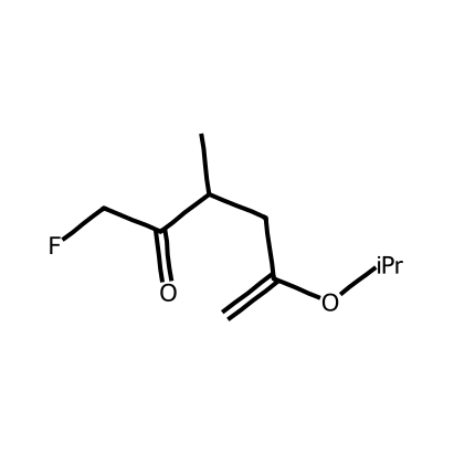 C=C(CC(C)C(=O)CF)OC(C)C